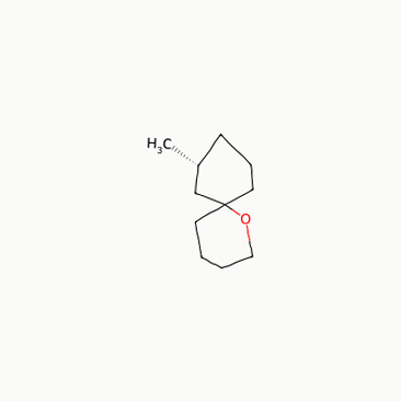 C[C@@H]1CCCC2(CCCCO2)C1